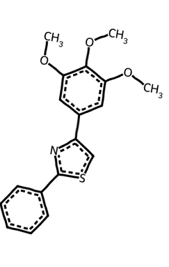 COc1cc(-c2csc(-c3ccccc3)n2)cc(OC)c1OC